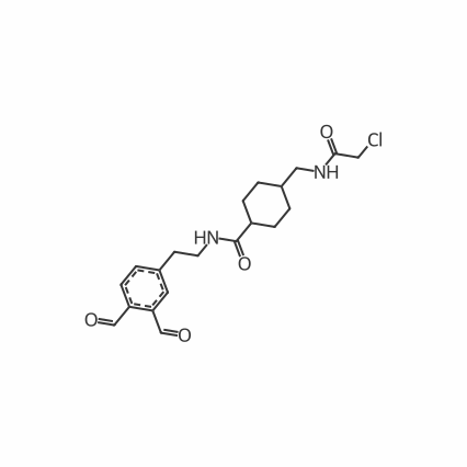 O=Cc1ccc(CCNC(=O)C2CCC(CNC(=O)CCl)CC2)cc1C=O